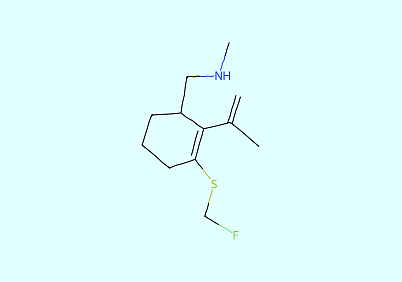 C=C(C)C1=C(SCF)CCCC1CNC